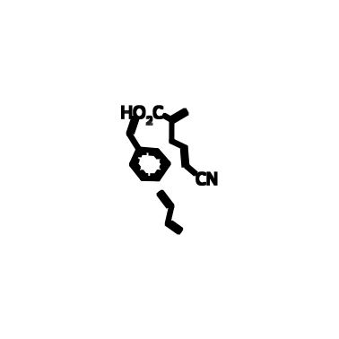 C=C(CC=CC#N)C(=O)O.C=CC=C.C=Cc1ccccc1